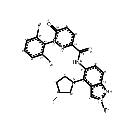 CC(C)n1cc2c(N3CC[C@@H](C)C3)c(NC(=O)c3ccc(=O)n(-c4c(F)cccc4F)n3)ccc2n1